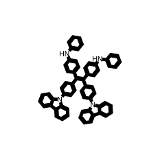 c1ccc(Nc2ccc(C(=C(c3ccc(Nc4ccccc4)cc3)c3ccc(-n4c5ccccc5c5ccccc54)cc3)c3ccc(-n4c5ccccc5c5ccccc54)cc3)cc2)cc1